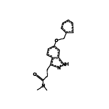 CN(C)C(=O)CCc1n[nH]c2cc(OCc3ccccc3)ccc12